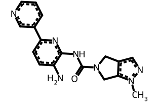 Cn1ncc2c1CN(C(=O)Nc1nc(-c3cccnc3)ccc1N)C2